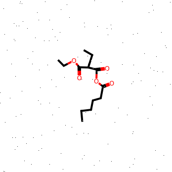 CCCCCC(=O)OC(=O)C(CC)C(=O)OCC